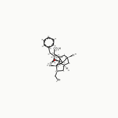 CC(C)CN1C[C@@H]2C[C@H]3CN[C@]2(C(=O)NCc2ccccc2)[C@@H]1[C@@H]3CCC(=O)O